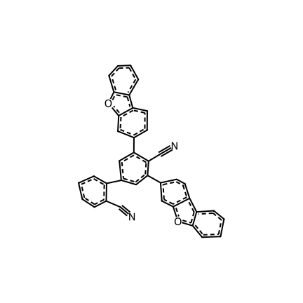 N#Cc1ccccc1-c1cc(-c2ccc3c(c2)oc2ccccc23)c(C#N)c(-c2ccc3c(c2)oc2ccccc23)c1